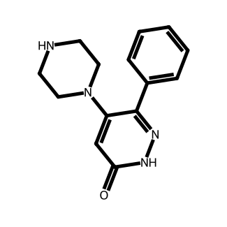 O=c1cc(N2CCNCC2)c(-c2ccccc2)n[nH]1